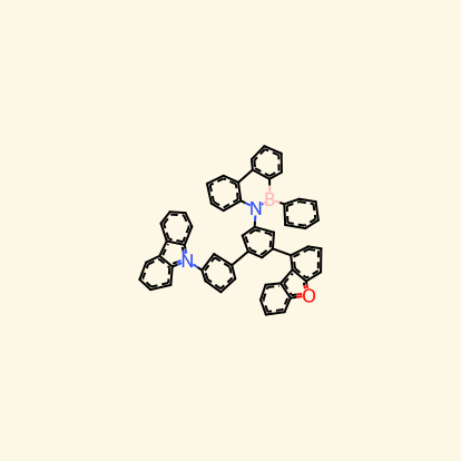 c1ccc(B2c3ccccc3-c3ccccc3N2c2cc(-c3cccc(-n4c5ccccc5c5ccccc54)c3)cc(-c3cccc4oc5ccccc5c34)c2)cc1